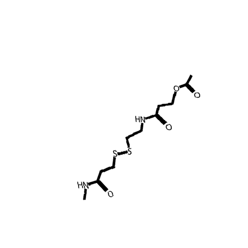 CNC(=O)CCSSCCNC(=O)CCOC(C)=O